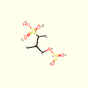 CC(CO[SH](=O)=O)C(C)S(=O)(=O)O